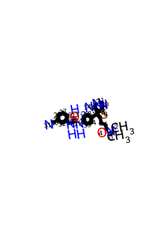 CN(C)C(=O)CCc1sc2ncnc(N)c2c1-c1ccc(NC(=O)Nc2cccc(C#N)c2)cc1